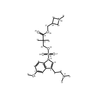 COc1ccc2c(c1)c(CCN(C)C)cn2S(=O)(=O)OCC(C)(C)C(=O)OCC1CN(C)C1